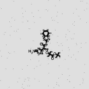 CC(C)(C)OC(=O)C(C)(C)ON=C(C(=O)Sc1nc2ccccc2s1)c1nsc(N)n1